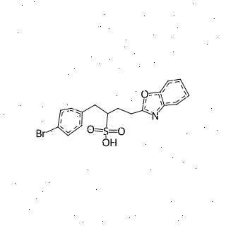 O=S(=O)(O)C(CCc1nc2ccccc2o1)Cc1ccc(Br)cc1